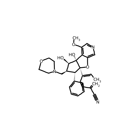 C=C(C#N)/C=C\C(=C/C)[C@@]12Oc3cncc(OC)c3[C@]1(O)[C@H](O)[C@H](CN1CCOCC1)[C@H]2c1ccccc1